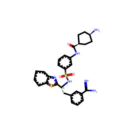 N=C(N)c1cccc(C[C@@H](NS(=O)(=O)c2cccc(NC(=O)[C@H]3CC[C@@H](N)CC3)c2)c2nc3ccccc3s2)c1